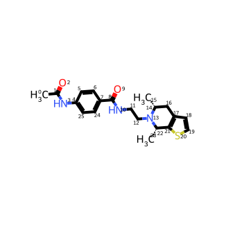 CC(=O)Nc1ccc(C(=O)NCCN2[C@H](C)Cc3ccsc3[C@@H]2C)cc1